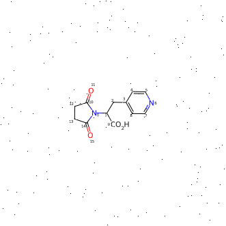 O=C(O)C(Cc1ccncc1)N1C(=O)CCC1=O